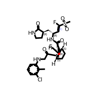 Cc1c(Cl)cccc1NCC(=O)N1[C@H]2CC[C@@H]([C@@H]1C(=O)N[C@@H](/C=C(\F)S(C)(=O)=O)C[C@H]1CCNC1=O)C(F)(F)C2